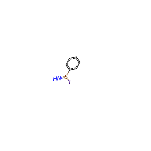 N=S(I)c1ccccc1